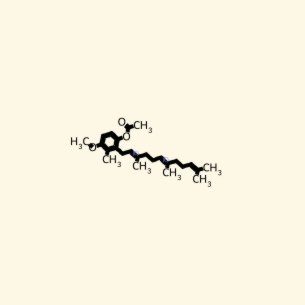 COc1ccc(OC(C)=O)c(C/C=C(\C)CC/C=C(\C)CCC=C(C)C)c1C